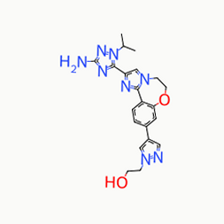 CC(C)n1nc(N)nc1-c1cn2c(n1)-c1ccc(-c3cnn(CCO)c3)cc1OCC2